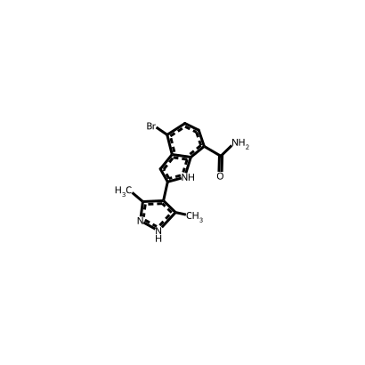 Cc1n[nH]c(C)c1-c1cc2c(Br)ccc(C(N)=O)c2[nH]1